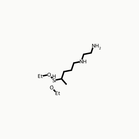 CCO[SiH](OCC)C(C)CCCNCCN